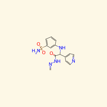 C=NNC(=O)C(Nc1cccc(S(N)(=O)=O)c1)c1ccncc1